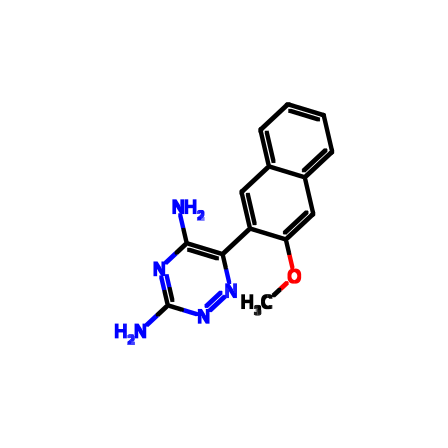 COc1cc2ccccc2cc1-c1nnc(N)nc1N